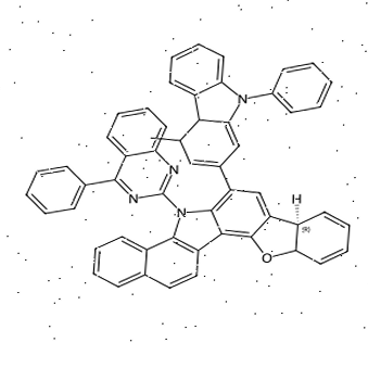 CC1C=C(c2cc3c(c4c5ccc6ccccc6c5n(-c5nc(-c6ccccc6)c6ccccc6n5)c24)OC2C=CC=C[C@H]32)C=C2C1c1ccccc1N2c1ccccc1